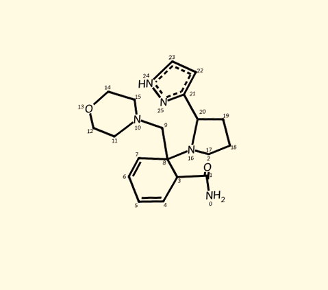 NC(=O)C1C=CC=CC1(CN1CCOCC1)N1CCCC1c1cc[nH]n1